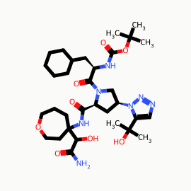 CC(C)(C)OC(=O)N[C@H](CC1CCCCC1)C(=O)N1C[C@@H](n2nncc2C(C)(C)O)C[C@H]1C(=O)NC1(C(O)C(N)=O)CCCOCC1